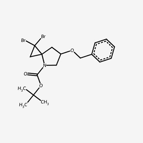 CC(C)(C)OC(=O)N1CC(OCc2ccccc2)CC12CC2(Br)Br